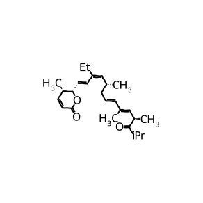 CCC(=C/[C@H](C)C/C=C/C(C)=C/[C@@H](C)C(=O)C(C)C)/C=C/[C@@H]1OC(=O)C=C[C@@H]1C